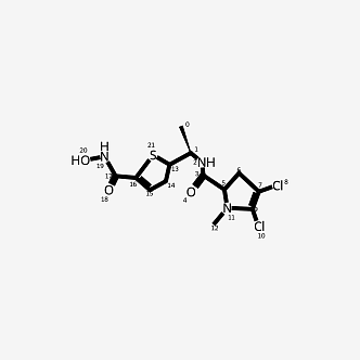 C[C@@H](NC(=O)C1CC(Cl)=C(Cl)N1C)C1CC=C(C(=O)NO)S1